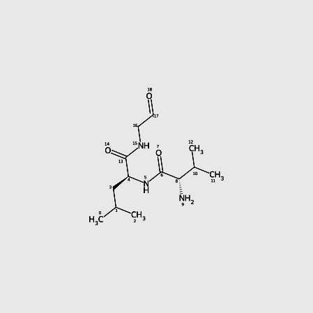 CC(C)C[C@H](NC(=O)[C@@H](N)C(C)C)C(=O)NC[C]=O